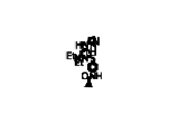 CCN(CC)c1cc(NC2CC=NN2)nc(Sc2ccc(NC(=O)C3CC3)cc2)n1